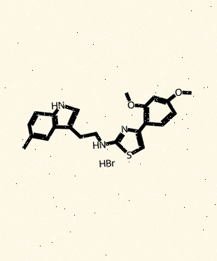 Br.COc1ccc(-c2csc(NCCc3c[nH]c4ccc(C)cc34)n2)c(OC)c1